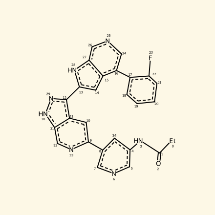 CCC(=O)Nc1cncc(-c2cc3c(-c4cc5c(-c6ccccc6F)cncc5[nH]4)n[nH]c3cn2)c1